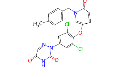 Cc1ccc(Cn2cc(Oc3c(Cl)cc(-n4ncc(=O)[nH]c4=O)cc3Cl)ccc2=O)cc1